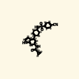 N#Cc1ccc(S(=O)(=O)NC2CC=C(c3cc(NC(=O)C4CC4)nc4[nH]ccc34)CC2)cc1